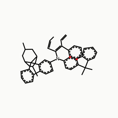 C=C/C(=C(\C=C/C)N(c1ccc2c(c1)-c1ccccc1C2(C)C)c1ccc2c(c1)C1(c3ccccc3-2)C2CC(C)CC1CC(C)C2)c1ccccc1